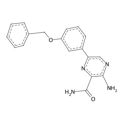 NC(=O)c1nc(-c2cccc(OCc3ccccc3)c2)cnc1N